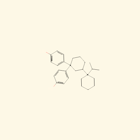 CC(C)C1(C2CCCC(c3ccc(O)cc3)(c3ccc(O)cc3)C2)CCCCC1